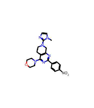 Cn1ccnc1N1CCc2c(nc(-c3ccc([N+](=O)[O-])cc3)nc2N2CCOCC2)C1